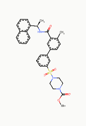 Cc1ccc(-c2cccc(S(=O)(=O)N3CCN(C(=O)OC(C)(C)C)CC3)c2)cc1C(=O)N[C@H](C)c1cccc2ccccc12